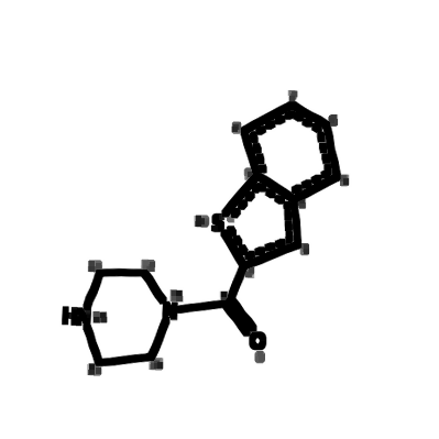 O=C(c1cc2ccccc2s1)N1CCNCC1